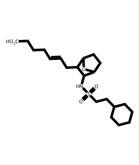 O=C(O)CCCC=CCC1C2CCC(O2)C1NS(=O)(=O)CCC1CCCCC1